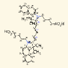 CC1(C)C(/C=C/C=C/C=C2/N(CCCCS(=O)(=O)O)c3ccc4ccccc4c3C2(C)C)=[N+](CCCCS(=O)(=O)O)c2ccc3ccccc3c21